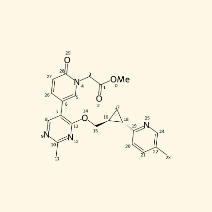 COC(=O)Cn1cc(-c2cnc(C)nc2OC[C@H]2C[C@@H]2c2ccc(C)cn2)ccc1=O